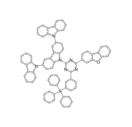 c1ccc([Si](c2ccccc2)(c2ccccc2)c2cccc(-c3nc(-c4ccc5c(c4)oc4ccccc45)nc(-n4c5ccc(-n6c7ccccc7c7ccccc76)cc5c5cc(-n6c7ccccc7c7ccccc76)ccc54)n3)c2)cc1